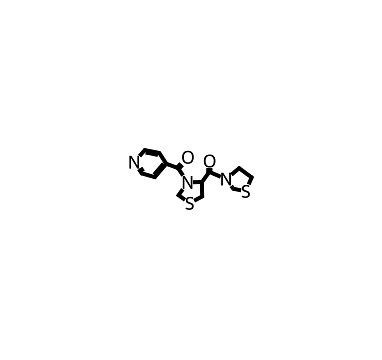 O=C(C1CSCN1C(=O)c1ccncc1)N1CCSC1